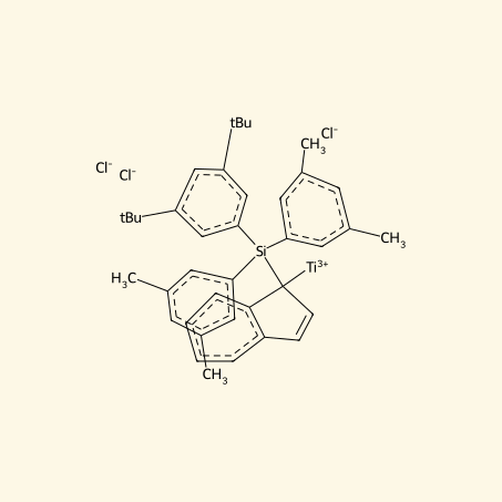 Cc1cc(C)cc([Si](c2cc(C)cc(C)c2)(c2cc(C(C)(C)C)cc(C(C)(C)C)c2)[C]2([Ti+3])C=Cc3ccccc32)c1.[Cl-].[Cl-].[Cl-]